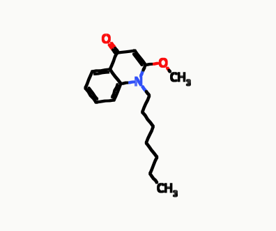 CCCCCCCn1c(OC)cc(=O)c2ccccc21